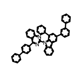 c1ccc(-c2ccc(-c3nc(-n4c5ccccc5c5cc(-c6cccc(-c7ccccc7)c6)cc(-c6ccccc6)c54)nc4ccccc34)cc2)cc1